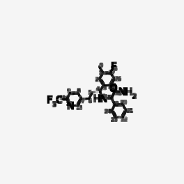 Cc1cc([C@@H](CCc2ccc(C(F)(F)F)nc2)N[C@@H](C(N)=O)c2ccccc2)ccc1F